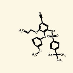 C=CCOc1cc(C#N)cc(NS(=O)(=O)c2ccc(C(C)(C)C)cc2)c1Oc1cccc(OC)c1